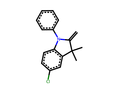 C=C1N(c2ccccc2)c2ccc(Cl)cc2C1(C)C